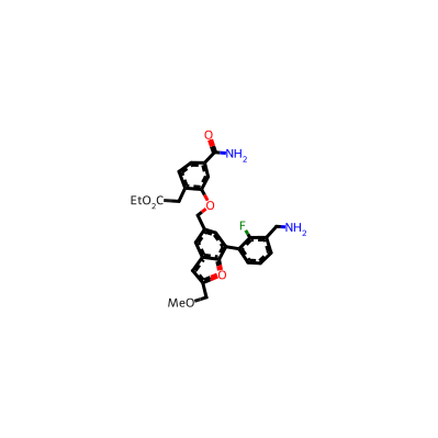 CCOC(=O)Cc1ccc(C(N)=O)cc1OCc1cc(-c2cccc(CN)c2F)c2oc(COC)cc2c1